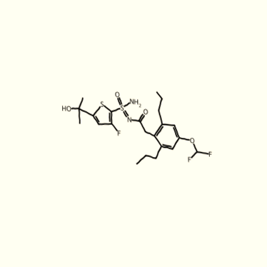 CCCc1cc(OC(F)F)cc(CCC)c1CC(=O)N=S(N)(=O)c1sc(C(C)(C)O)cc1F